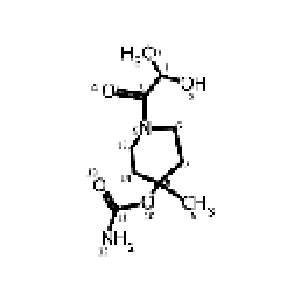 C[C@@H](O)C(=O)N1CCC(C)(OC(N)=O)CC1